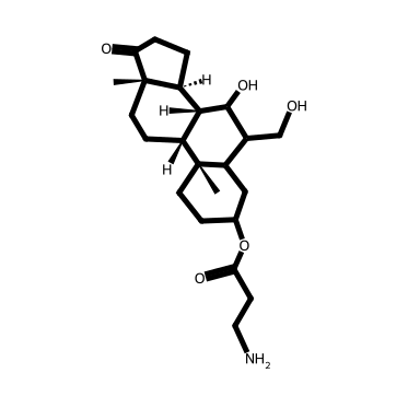 C[C@]12CCC(OC(=O)CCN)CC1C(CO)C(O)[C@@H]1[C@H]2CC[C@]2(C)C(=O)CC[C@@H]12